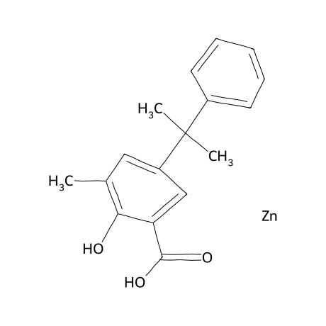 Cc1cc(C(C)(C)c2ccccc2)cc(C(=O)O)c1O.[Zn]